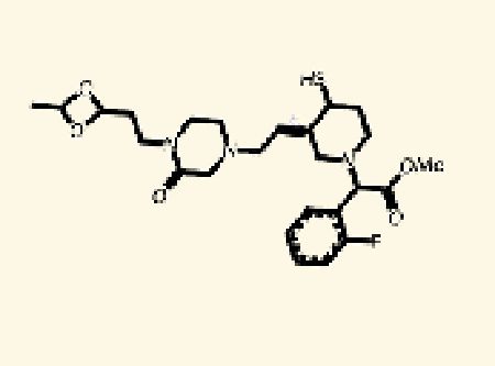 COC(=O)C(c1ccccc1F)N1CCC(S)/C(=C/CN2CCN(CCC3OC(C)O3)C(=O)C2)C1